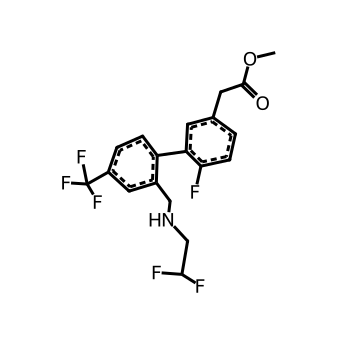 COC(=O)Cc1ccc(F)c(-c2ccc(C(F)(F)F)cc2CNCC(F)F)c1